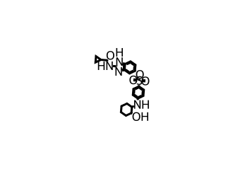 O=C(Nc1nc2cc(OS(=O)(=O)c3ccc(NC4CCCCC4O)cc3)ccc2[nH]1)C1CC1